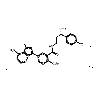 COc1ncc(-c2cc(C(F)(F)F)c3c(N)ncnn23)cc1C(=O)NCC[C@H](OC)c1ccc(Cl)cc1